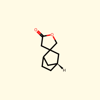 O=C1CC2(CO1)C[C@@H]1CCC2C1